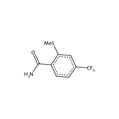 CSc1cc(C(F)(F)F)ccc1C(N)=O